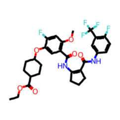 CCOC(=O)C1CCC(Oc2cc(C(=O)NC3=C(C(=O)Nc4ccc(F)c(C(F)(F)F)c4)CCC3)c(OC)cc2F)CC1